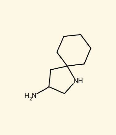 NC1CNC2(CCCCC2)C1